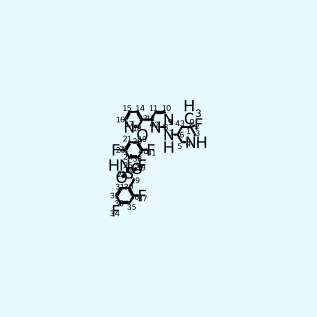 C[C@@]1(F)CNCC(Nc2nccc(-c3cccnc3Oc3cc(F)c(NS(=O)(=O)Cc4ccc(F)cc4F)c(F)c3F)n2)C1